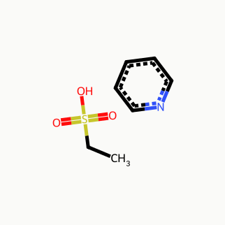 CCS(=O)(=O)O.c1ccncc1